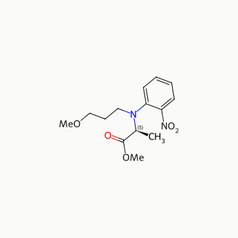 COCCCN(c1ccccc1[N+](=O)[O-])[C@@H](C)C(=O)OC